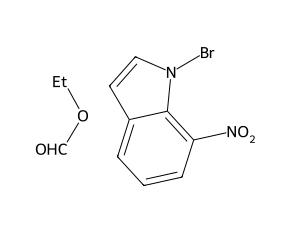 CCOC=O.O=[N+]([O-])c1cccc2ccn(Br)c12